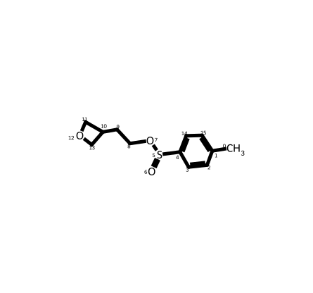 Cc1ccc(S(=O)OCCC2COC2)cc1